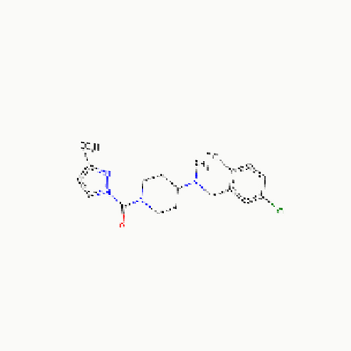 CN(Cc1cc(Cl)ccc1C(F)(F)F)C1CCN(C(=O)n2ccc(C(=O)O)n2)CC1